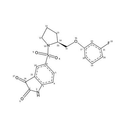 O=C1Nc2ccc(S(=O)(=O)N3CCC[C@H]3COc3cccc(F)c3)cc2C1=O